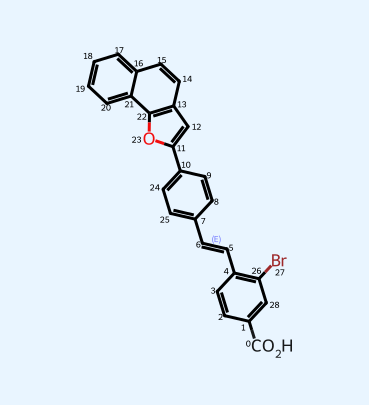 O=C(O)c1ccc(/C=C/c2ccc(-c3cc4ccc5ccccc5c4o3)cc2)c(Br)c1